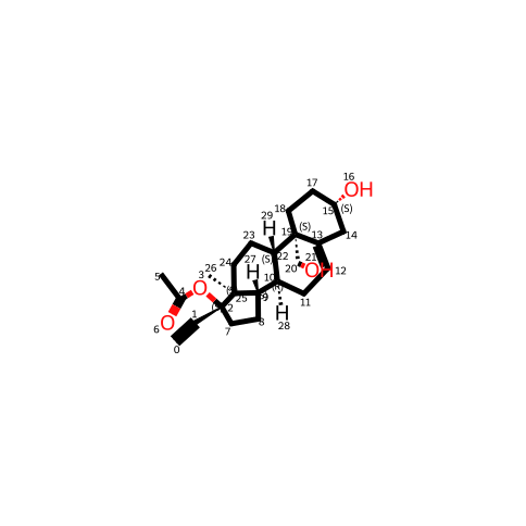 C#C[C@]1(OC(C)=O)CC[C@H]2[C@@H]3CC=C4C[C@@H](O)CC[C@]4(CO)[C@H]3CC[C@@]21C